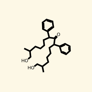 CC(CO)CCCCC(C(=O)C(CCCCC(C)CO)c1ccccc1)c1ccccc1